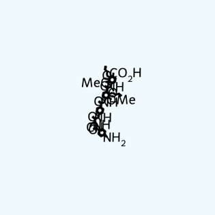 C=CCOc1c(C(=O)O)ccc(NC(=O)c2ccc(NC(=O)c3ccc(NC(=O)C(CC#N)NC(=O)c4ccc(N)cc4)cc3)c(OC)c2OCC=C)c1OC